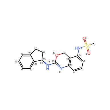 CS(=O)(=O)Nc1cccc2c1COC(N[C@@H]1CCc3ccccc31)=N2